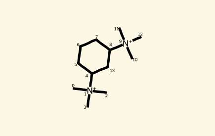 C[N+](C)(C)C1CCCC([N+](C)(C)C)C1